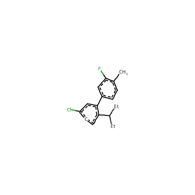 CCC(CC)c1ccc(Cl)cc1-c1ccc(C)c(F)c1